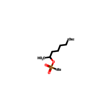 CCCCCCCCCCCCCCC(OS(=O)(=O)CCCC)C(=O)O